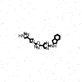 c1ccc2c(c1)CC(Nc1ncc(-c3nnc(N4CC(c5c[nH]nn5)C4)o3)cn1)C2